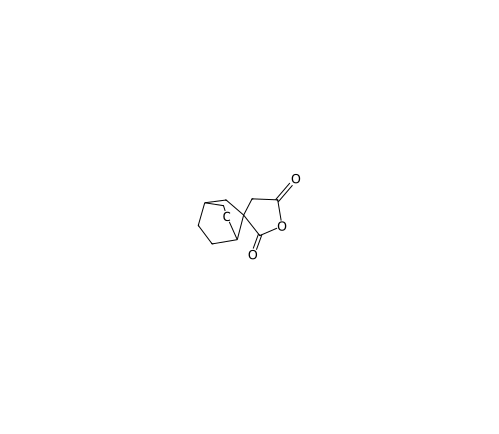 O=C1CC2(CC3CCC2CC3)C(=O)O1